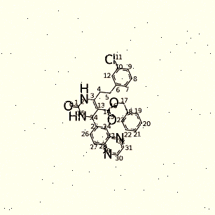 O=C1NC(CCc2cccc(Cl)c2)=C(C(=O)OCc2ccccc2)C(c2ccc3nccnc3c2)N1